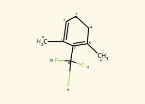 CC1=[C][C]CC(C)=C1C(F)(F)F